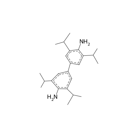 CC(C)c1cc(-c2cc(C(C)C)c(N)c(C(C)C)c2)cc(C(C)C)c1N